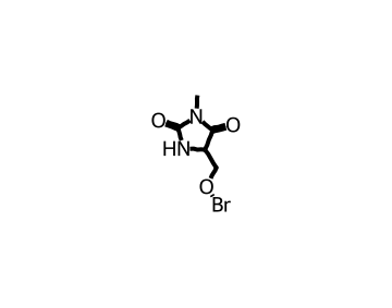 CN1C(=O)NC(COBr)C1=O